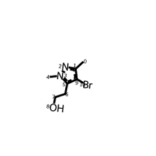 Cc1nn(C)c(CCO)c1Br